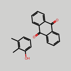 Cc1cccc(O)c1C.O=C1c2ccccc2C(=O)c2ccccc21